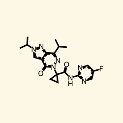 CC(C)c1nn(C2(C(=O)Nc3ncc(F)cn3)CC2)c(=O)c2cn(C(C)C)nc12